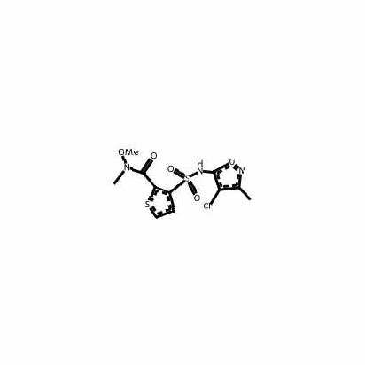 CON(C)C(=O)c1sccc1S(=O)(=O)Nc1onc(C)c1Cl